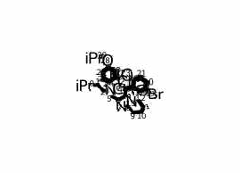 CC(C)CC[N+](C=O)(CC1N=C2C=CC=CN2C1Cc1cc(Br)ccc1O)c1ccc(OC(C)C)cc1Cl